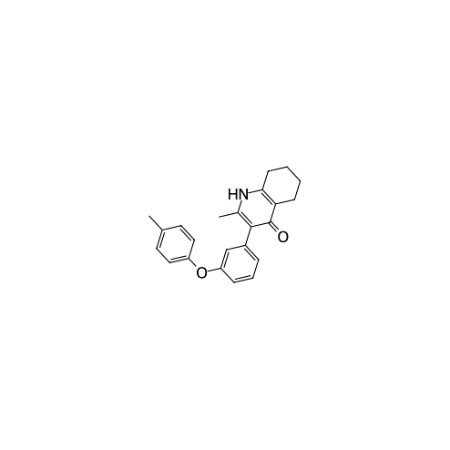 Cc1ccc(Oc2cccc(-c3c(C)[nH]c4c(c3=O)CCCC4)c2)cc1